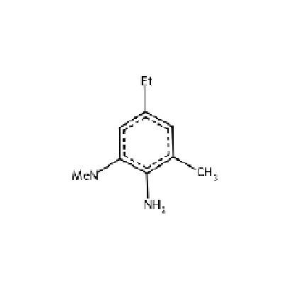 CCc1cc(C)c(N)c(NC)c1